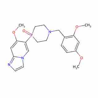 COc1ccc(CN2CCP(=O)(c3cn4ccnc4cc3OC)CC2)c(OC)c1